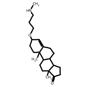 CNCCCOC1C=C2CCC3C4CCC(=O)C4(C)CCC3C2(C)CC1